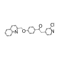 O=C(Cc1ccnc(Cl)c1)c1ccc(OCc2ccc3ccccc3n2)cc1